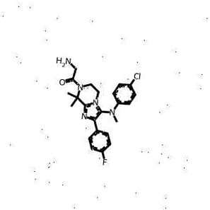 CN(c1ccc(Cl)cc1)c1c(-c2ccc(F)cc2)nc2n1CCN(C(=O)CN)C2(C)C